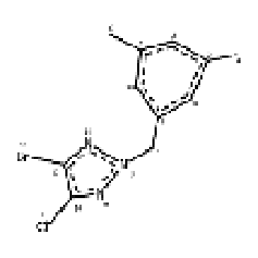 Cc1cc(C)cc(Cn2nc(Cl)c(Br)n2)c1